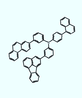 c1cc(-c2cc3c4c(cccc4c2)-c2ccccc2-3)cc(N(c2ccc(-c3cccc4ccccc34)cc2)c2cccc(-c3ccc4c(ccc5ccccc54)c3)c2)c1